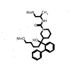 CNCC(C)NC(=O)N1CCCC(C(O)(CCCCOC)c2ccccc2-c2ccccc2)C1